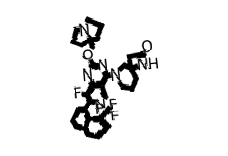 O=C1CC2(CCCN(c3nc(OCC45CCCN4CCC5)nc4c(F)c(-c5cccc6cccc(C(F)(F)F)c56)ncc34)C2)N1